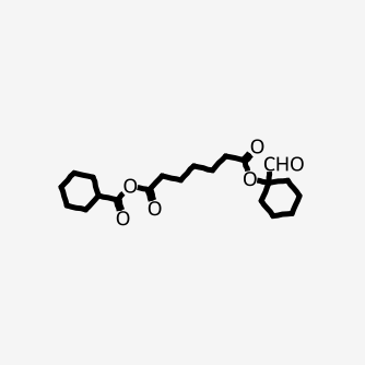 O=CC1(OC(=O)CCCCCC(=O)OC(=O)C2CCCCC2)CCCCC1